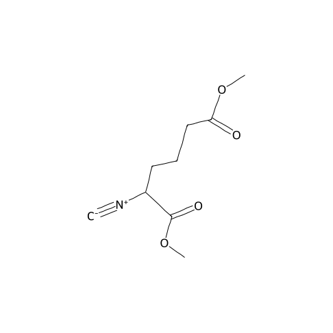 [C-]#[N+]C(CCCC(=O)OC)C(=O)OC